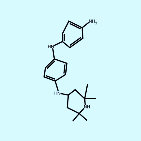 CC1(C)CC(Nc2ccc(Nc3ccc(N)cc3)cc2)CC(C)(C)N1